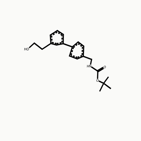 CC(C)(C)OC(=O)NCc1ccc(-c2cccc(CCO)c2)cc1